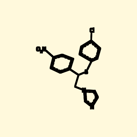 O=[N+]([O-])c1ccc(C(Cn2ccnc2)Sc2ccc(Cl)cc2)cc1